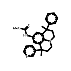 COC(=O)Nc1cc2c3c(c1)C(C)(c1cccnc1)CCN3CCC2(C)c1ccccc1